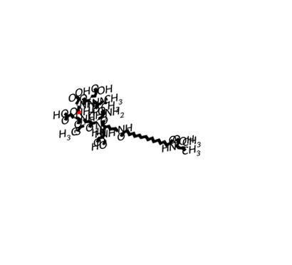 C=C(C(=O)[C@H](CCC(N)=O)NC(=O)C(CCCCNC(=O)CCCCCCCCCCCCCCC(=O)NC(CC(C)C)C(=O)O)NN[C@H](C=O)CO)[C@H](CCSC)NC(=O)[C@H](CCC(=O)O)NC(=O)[C@H](CCC(=O)O)NC(=O)[C@H](CCC(=O)O)NCC(=O)[C@H](C)NC